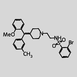 COc1ccccc1C(=C1CCN(CCNS(=O)(=O)c2ccccc2Br)CC1)c1cccc(C)c1